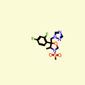 CC1N(S(C)(=O)=O)COC1(Cn1cncn1)c1ccc(F)cc1F